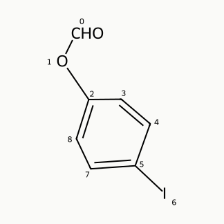 O=COc1ccc(I)cc1